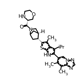 Cc1c(-c2[nH]c3sc([C@@H]4CC5C[C@H]4CN5C(=O)[C@H]4COCCN4)c(C)c3c2C(C)C)cn2ncnc2c1C